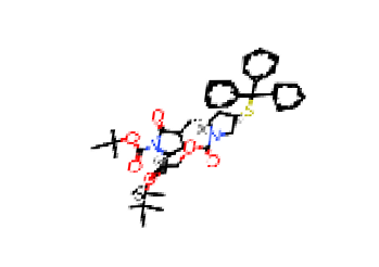 C=CCOC(=O)N1C[C@@H](SC(c2ccccc2)(c2ccccc2)c2ccccc2)C[C@H]1CC1C[C@@H](CO[Si](C)(C)C(C)(C)C)N(C(=O)OC(C)(C)C)C1=O